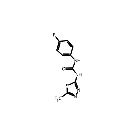 O=C(Nc1ccc(F)cc1)Nc1nnc(C(F)(F)F)s1